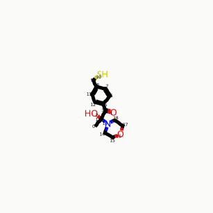 CC(O)(C(=O)c1ccc(CS)cc1)N1CCOCC1